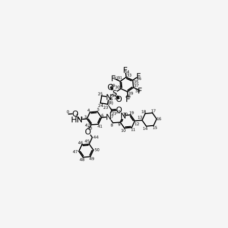 CONc1ccc(N(Cc2ccc(C3CCCCC3)cn2)C(=O)[C@H]2CCN2S(=O)(=O)c2c(F)c(F)c(F)c(F)c2F)cc1OCc1ccccc1